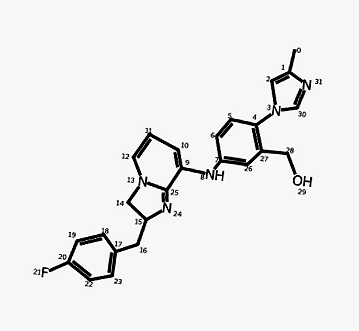 Cc1cn(-c2ccc(NC3=CC=CN4CC(Cc5ccc(F)cc5)N=C34)cc2CO)cn1